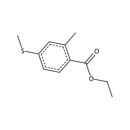 CCOC(=O)c1ccc(SC)cc1C